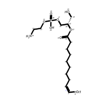 CCCCCCCC/C=C\CCCCCCCC(=O)O[C@@H](CO)COP(=O)(O)OCCN